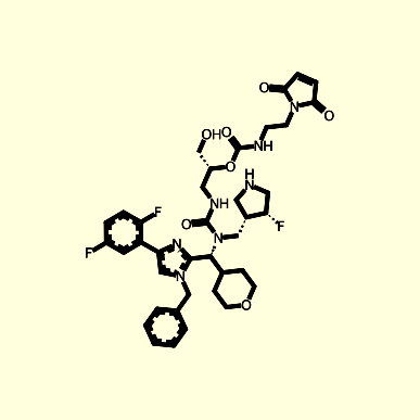 O=C(NCCN1C(=O)C=CC1=O)O[C@@H](CO)CNC(=O)N(C[C@@H]1CNC[C@@H]1F)[C@@H](c1nc(-c2cc(F)ccc2F)cn1Cc1ccccc1)C1CCOCC1